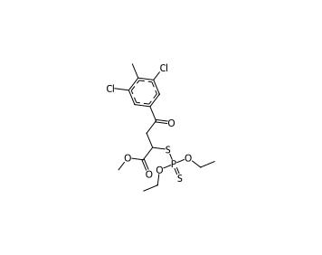 CCOP(=S)(OCC)SC(CC(=O)c1cc(Cl)c(C)c(Cl)c1)C(=O)OC